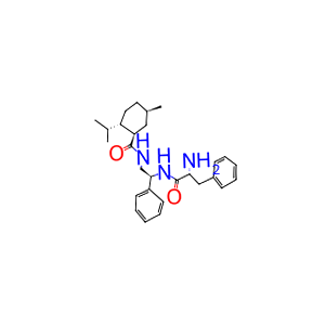 CC(C)[C@@H]1CC[C@@H](C)C[C@H]1C(=O)NC[C@@H](NC(=O)[C@H](N)Cc1ccccc1)c1ccccc1